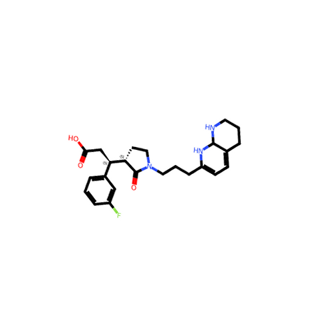 O=C(O)C[C@H](c1cccc(F)c1)[C@@H]1CCN(CCCC2=CC=C3CCCNC3N2)C1=O